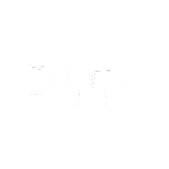 CCOC(=O)C1Cc2cc3sc4ccccc4c3c(C)c2N1Br